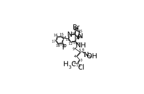 C\C(Cl)=C/C=C(\C=N\O)CNc1cc(-c2ccccc2F)nc2c(Br)cnn12